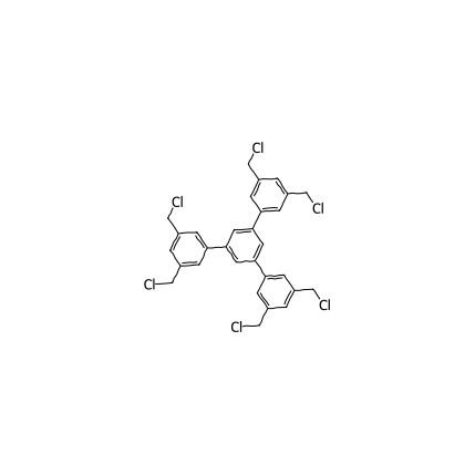 ClCc1cc(CCl)cc(-c2cc(-c3cc(CCl)cc(CCl)c3)cc(-c3cc(CCl)cc(CCl)c3)c2)c1